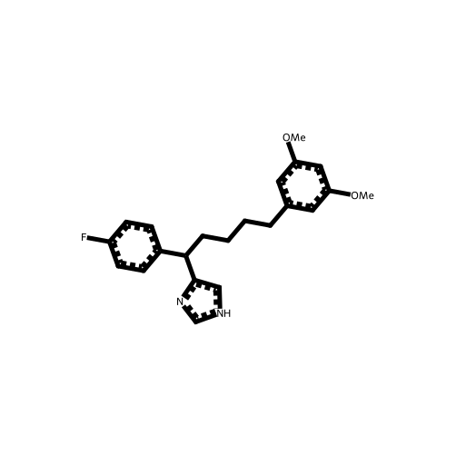 COc1cc(CCCCC(c2ccc(F)cc2)c2c[nH]cn2)cc(OC)c1